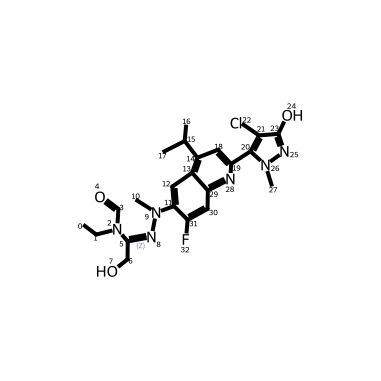 CCN(C=O)/C(CO)=N\N(C)c1cc2c(C(C)C)cc(-c3c(Cl)c(O)nn3C)nc2cc1F